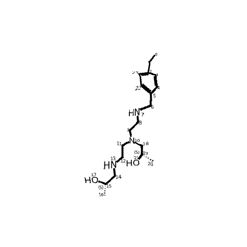 CCc1ccc(CNCCN(CCNC[C@H](C)O)C[C@H](C)O)cc1